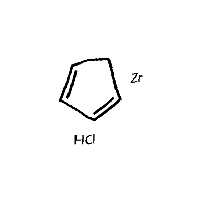 C1=CCC=C1.Cl.[Zr]